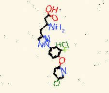 Cl.NC(CC(=O)O)Cc1cnn(-c2ccc(Oc3ccc(Cl)cn3)c(F)c2)n1